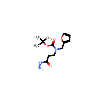 CC(C)(C)OC(=O)N(CCC(=O)NN)Cc1ccco1